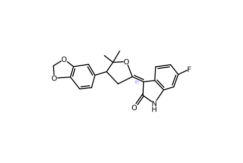 CC1(C)O/C(=C2/C(=O)Nc3cc(F)ccc32)CC1c1ccc2c(c1)OCO2